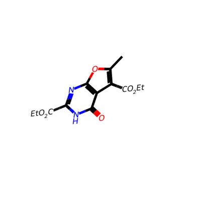 CCOC(=O)c1nc2oc(C)c(C(=O)OCC)c2c(=O)[nH]1